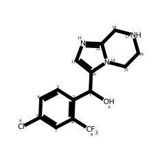 OC(c1ccc(Cl)cc1C(F)(F)F)c1cnc2n1CCNC2